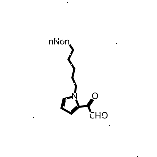 CCCCCCCCCCCCCCn1cccc1C(=O)C=O